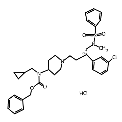 CN(C[C@@H](CCN1CCC(N(CC2CC2)C(=O)OCc2ccccc2)CC1)c1cccc(Cl)c1)S(=O)(=O)c1ccccc1.Cl